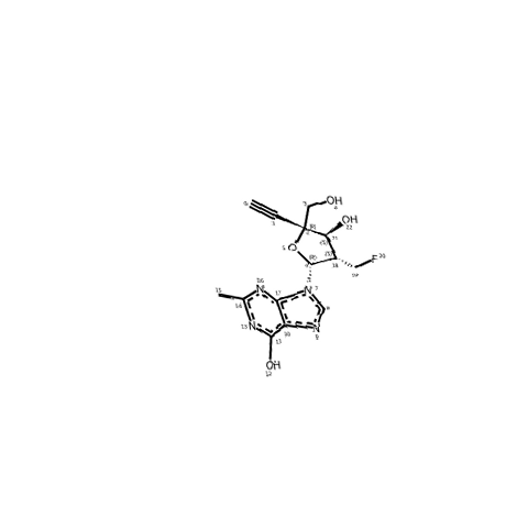 C#C[C@]1(CO)O[C@@H](n2cnc3c(O)nc(C)nc32)[C@@H](CF)[C@@H]1O